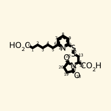 O=C(O)CCCCCc1cccc(SSCC(C(=O)O)N2C(=O)CCC2=O)n1